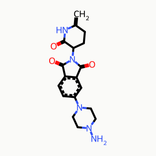 C=C1CCC(N2C(=O)c3ccc(N4CCN(N)CC4)cc3C2=O)C(=O)N1